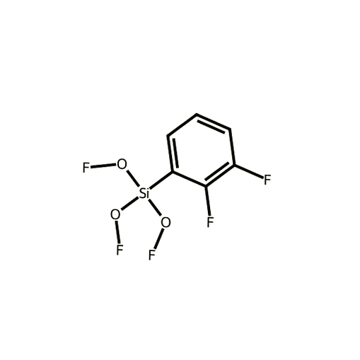 FO[Si](OF)(OF)c1cccc(F)c1F